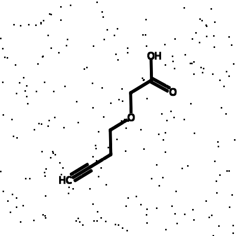 C#CCCOCC(=O)O